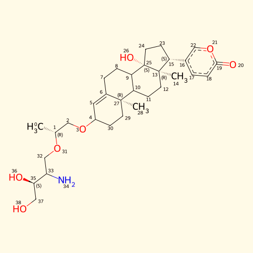 C[C@H](COC1C=C2CCC3C(CC[C@]4(C)[C@@H](c5ccc(=O)oc5)CC[C@]34O)[C@@]2(C)CC1)OCC(N)[C@H](O)CO